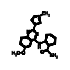 COc1ccc2nc(-c3ccn(C)c3)nc(Nc3ccccc3C(N)=O)c2c1